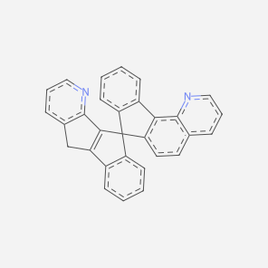 c1cnc2c(c1)CC1=C2C2(c3ccccc31)c1ccccc1-c1c2ccc2cccnc12